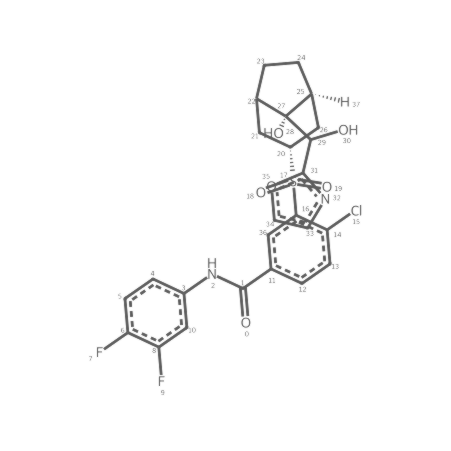 O=C(Nc1ccc(F)c(F)c1)c1ccc(Cl)c(S(=O)(=O)[C@@H]2CC3CC[C@@H](C2)[C@@]3(O)C(O)c2ncco2)c1